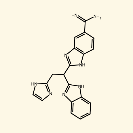 N=C(N)c1ccc2[nH]c(C(Cc3ncc[nH]3)c3nc4ccccc4[nH]3)nc2c1